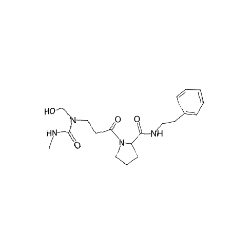 CNC(=O)N(CO)CCC(=O)N1CCCC1C(=O)NCCc1ccccc1